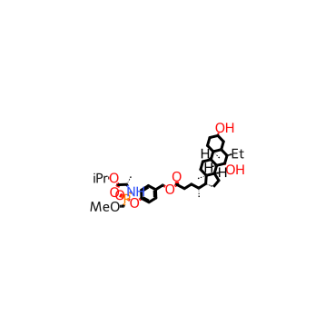 CC[C@@H]1C2C[C@H](O)CC[C@]2(C)[C@H]2CC[C@]3(C)[C@@H]([C@H](C)CCC(=O)OCc4ccc(OP(=O)(COC)N[C@@H](C)C(=O)OC(C)C)cc4)CC[C@H]3[C@@H]2[C@@H]1O